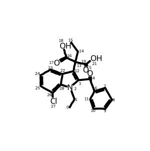 CCn1c(C(=O)c2ccccc2)c(C(CC)(C(=O)O)C(=O)O)c2cccc(Cl)c21